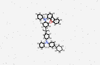 CC(C)(c1ccc(N(c2ccccc2)c2ccc(C3CCCCC3)cc2)cc1)c1ccc(N(c2ccccc2)c2cccc3c2oc2ccccc23)cc1